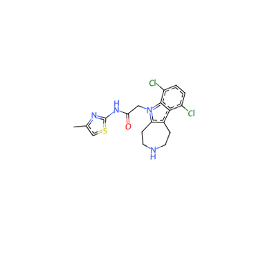 Cc1csc(NC(=O)Cn2c3c(c4c(Cl)ccc(Cl)c42)CCNCC3)n1